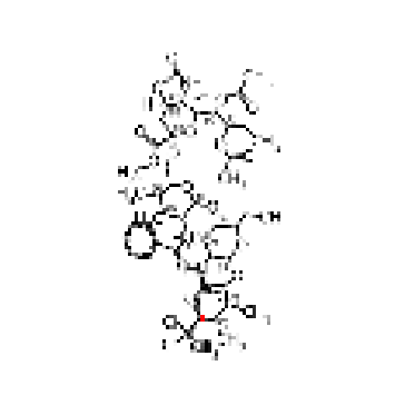 CCC1O[C@H](F)C(O[C@@H]2OC(CC)[C@@H](O[C@@H]3OC(CO[C@]4(C(=O)OC)C[C@H]5OC(=O)N[C@H]5C([C@H](OC(C)=O)[C@@H](CC)OC(C)=O)O4)[C@H](C)[C@H](C)C3OC(=O)c3ccccc3)[C@H](C)C2NC(=O)OCC(Cl)(Cl)Cl)[C@@H](C)[C@@H]1C